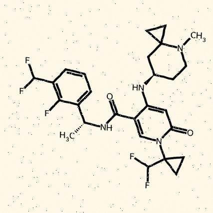 C[C@@H](NC(=O)c1cn(C2(C(F)F)CC2)c(=O)cc1N[C@@H]1CCN(C)C2(CC2)C1)c1cccc(C(F)F)c1F